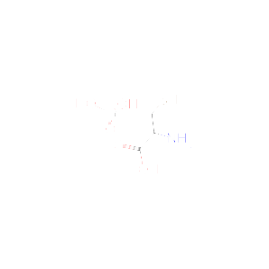 NC(CS)C(=O)O.O=[Te](O)O